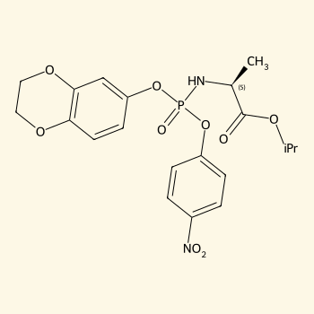 CC(C)OC(=O)[C@H](C)NP(=O)(Oc1ccc([N+](=O)[O-])cc1)Oc1ccc2c(c1)OCCO2